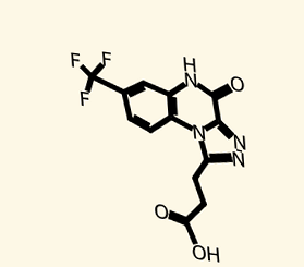 O=C(O)CCc1nnc2c(=O)[nH]c3cc(C(F)(F)F)ccc3n12